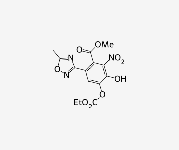 CCOC(=O)Oc1cc(-c2noc(C)n2)c(C(=O)OC)c([N+](=O)[O-])c1O